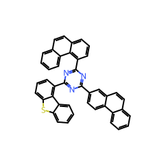 c1ccc2c(c1)ccc1cc(-c3nc(-c4cccc5ccc6ccccc6c45)nc(-c4cccc5sc6ccccc6c45)n3)ccc12